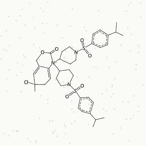 CC(C)c1ccc(S(=O)(=O)N2CCC([N+]3(C4CCN(S(=O)(=O)c5ccc(C(C)C)cc5)CC4)C(=O)OCC4=CC(C)(Cl)CC=C43)CC2)cc1